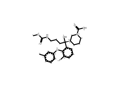 COC(=O)NCCCC(O)(c1cccc(F)c1Oc1cccc(C)c1)[C@@H]1CCCN(C(=O)O)C1